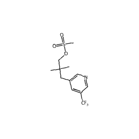 CC(C)(COS(C)(=O)=O)Cc1cncc(C(F)(F)F)c1